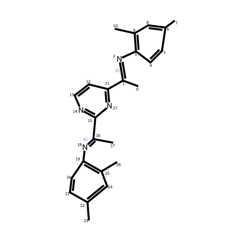 C/C(=N\c1ccc(C)cc1C)c1ccnc(/C(C)=N/c2ccc(C)cc2C)n1